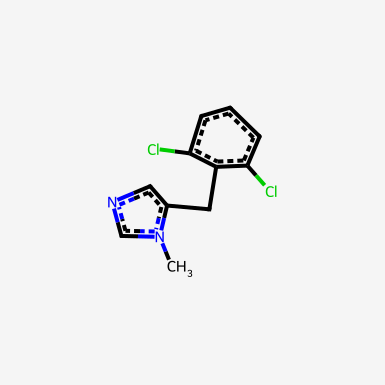 Cn1cncc1Cc1c(Cl)cccc1Cl